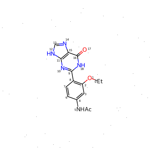 CCOc1cc(NC(C)=O)ccc1-c1nc2[nH]cnc2c(=O)[nH]1